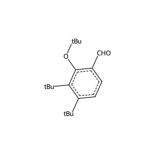 CC(C)(C)Oc1c(C=O)ccc(C(C)(C)C)c1C(C)(C)C